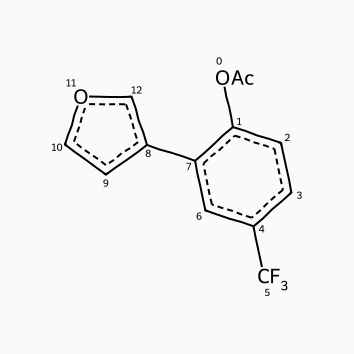 CC(=O)Oc1ccc(C(F)(F)F)cc1-c1ccoc1